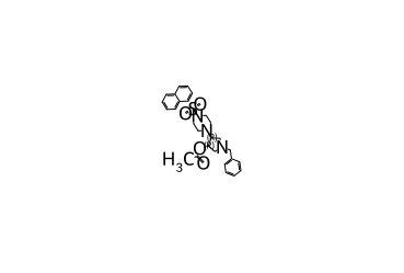 CC(=O)O[C@@H]1CN(Cc2ccccc2)C[C@H]1N1CCN(S(=O)(=O)c2cccc3ccccc23)CC1